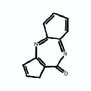 O=c1nc2ccccc2nc2c1CC=C2